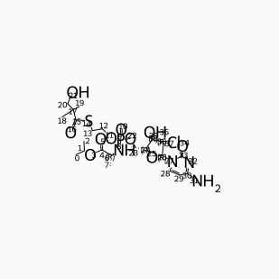 CC(C)OC(=O)[C@@H](C)NP(=O)(OCCSC(=O)C(C)(C)CO)OC[C@H]1O[C@@H](n2ccc(N)nc2=O)[C@](C)(Cl)[C@@H]1O